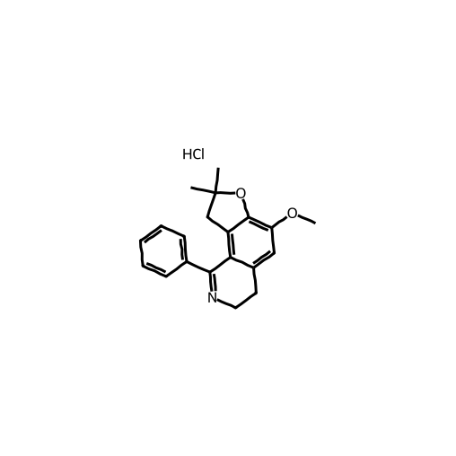 COc1cc2c(c3c1OC(C)(C)C3)C(c1ccccc1)=NCC2.Cl